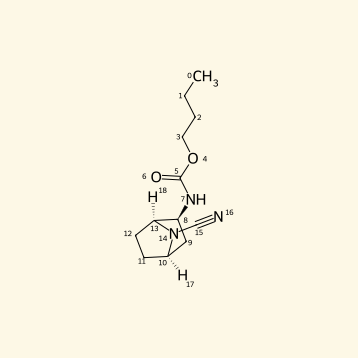 CCCCOC(=O)N[C@H]1C[C@H]2CC[C@@H]1N2C#N